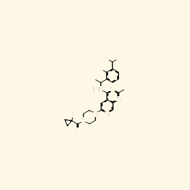 Cc1nc(NC(C)c2cccc(C(F)F)c2F)c2cc(N3CCN(C(=O)C4(F)CC4)CC3)ncc2n1